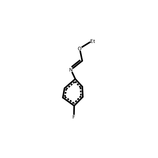 CCOC=Nc1ccc(F)cc1